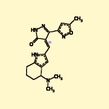 Cc1cc(C2=NNC(=O)/C2=C\c2cc3c([nH]2)CCCC3N(C)C)no1